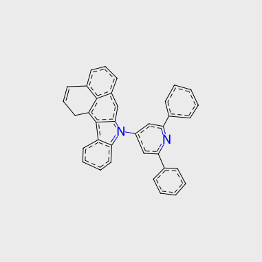 C1=Cc2cccc3cc4c(c(c23)C1)c1ccccc1n4-c1cc(-c2ccccc2)nc(-c2ccccc2)c1